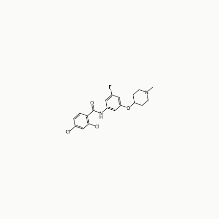 CN1CCC(Oc2cc(F)cc(NC(=O)c3ccc(Cl)cc3Cl)c2)CC1